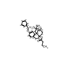 CCCC(=O)OC12CCCCC1(CC(C)(C)N)c1cc(OCc3ccccc3)ccc1CC2